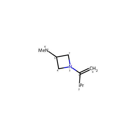 C=C(C(C)C)N1CC(NC)C1